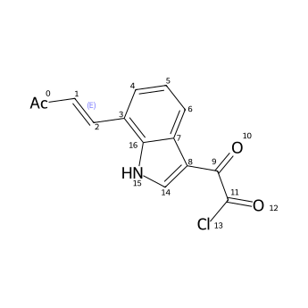 CC(=O)/C=C/c1cccc2c(C(=O)C(=O)Cl)c[nH]c12